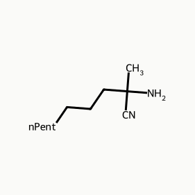 CCCCCCCCC(C)(N)C#N